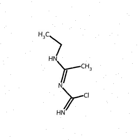 CCN/C(C)=N/C(=N)Cl